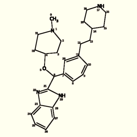 CN1CCC(OC(c2cccc(CCC3CCNCC3)c2)c2nc3ccccc3[nH]2)CC1